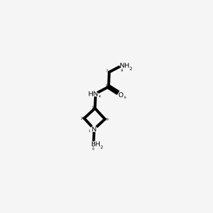 BN1CC(NC(=O)CN)C1